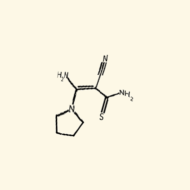 N#CC(C(N)=S)=C(N)N1CCCC1